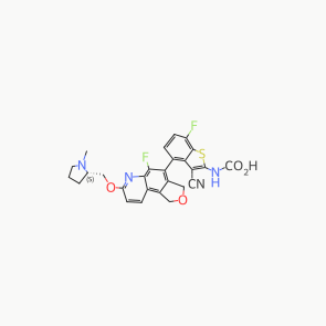 CN1CCC[C@H]1COc1ccc2c3c(c(-c4ccc(F)c5sc(NC(=O)O)c(C#N)c45)c(F)c2n1)COC3